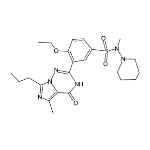 CCCc1nc(C)c2c(=O)[nH]c(-c3cc(S(=O)(=O)N(C)N4CCCCC4)ccc3OCC)nn12